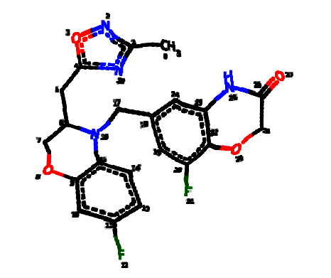 Cc1noc(CC2COc3cc(F)ccc3N2Cc2cc(F)c3c(c2)NC(=O)CO3)n1